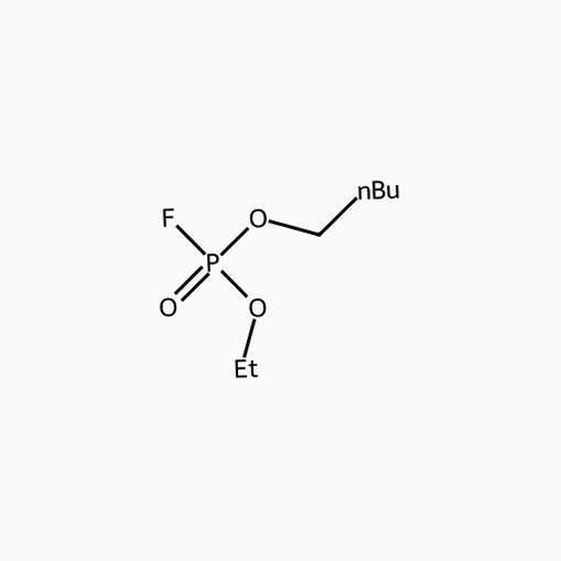 CCCCCOP(=O)(F)OCC